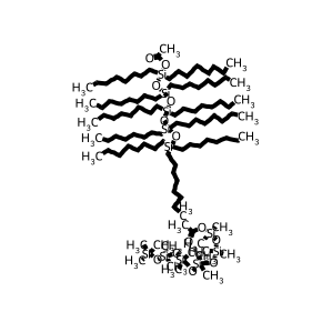 CC(=O)O[Si](C)(C)O[Si](C)(C)O[Si](C)(C)O[Si](C)(C)O[Si](C)(C)O[Si](C)(C)C.CCCCCCCC[Si](CCCCCCCC)(CCCCCCCC)O[Si](CCCCCCCC)(CCCCCCCC)O[Si](CCCCCCCC)(CCCCCCCC)O[Si](CCCCCCCC)(CCCCCCCC)O[Si](CCCCCCCC)(CCCCCCCC)OC(C)=O